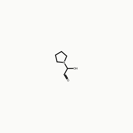 O=[C]C(O)N1CCCC1